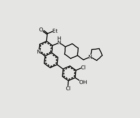 CCC(=O)c1cnc2ccc(-c3cc(Cl)c(O)c(Cl)c3)cc2c1NC1CCC(CN2CCCC2)CC1